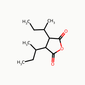 CCC(C)C1C(=O)OC(=O)C1C(C)CC